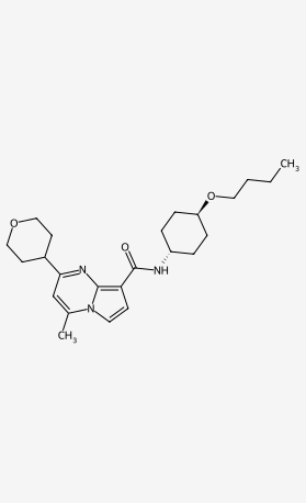 CCCCO[C@H]1CC[C@H](NC(=O)c2ccn3c(C)cc(C4CCOCC4)nc23)CC1